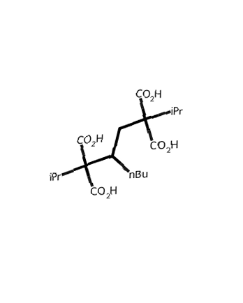 CCCCC(CC(C(=O)O)(C(=O)O)C(C)C)C(C(=O)O)(C(=O)O)C(C)C